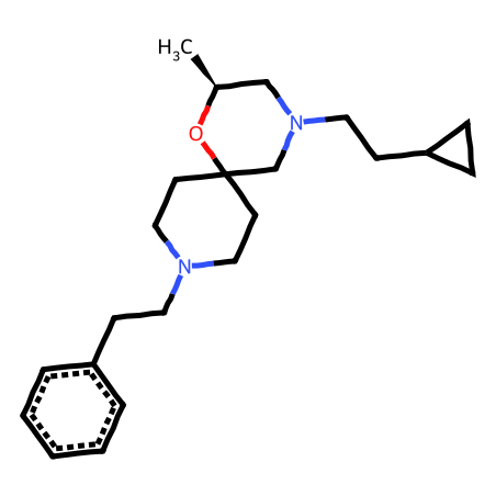 C[C@H]1CN(CCC2CC2)CC2(CCN(CCc3ccccc3)CC2)O1